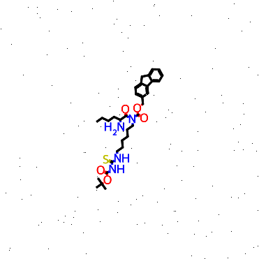 CCCCC(N)C(=O)N(CCCCCCNC(=S)NC(=O)OC(C)(C)C)C(=O)OCc1ccc2c(c1)-c1ccccc1C2